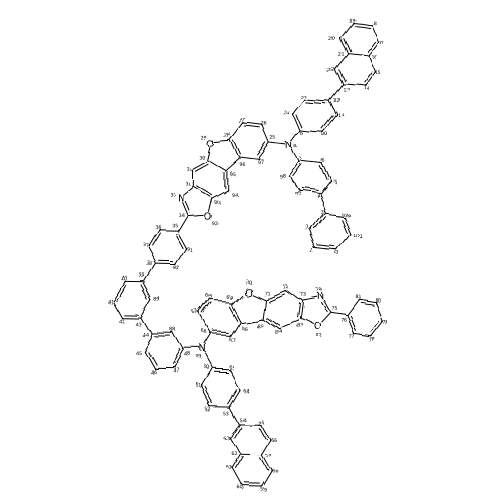 c1ccc(-c2ccc(N(c3ccc(-c4ccc5ccccc5c4)cc3)c3ccc4oc5cc6nc(-c7ccc(-c8cccc(-c9cccc(N(c%10ccc(-c%11ccc%12ccccc%12c%11)cc%10)c%10ccc%11oc%12cc%13nc(-c%14ccccc%14)oc%13cc%12c%11c%10)c9)c8)cc7)oc6cc5c4c3)cc2)cc1